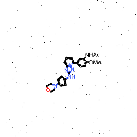 COc1ccc(-c2cccc3nc(Nc4ccc(N5CCOCC5)cc4)nn23)cc1NC(C)=O